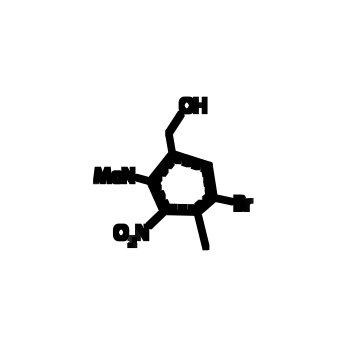 CNc1c(CO)cc(Br)c(C)c1[N+](=O)[O-]